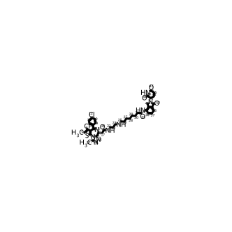 Cc1sc2c(c1C)C(c1ccc(Cl)cc1)=N[C@@H](CC(=O)NCCCNCCCCCCCC(=O)Nc1cccc3c1CN(C1CCC(=O)NC1=O)C3=O)c1nnc(C)n1-2